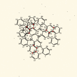 c1ccc(-c2cc3c(cc2-c2ccccc2)N(c2c(-c4ccccc4)cccc2-c2ccccc2)c2cc(C4(c5ccccc5)c5ccccc5-c5ccccc54)cc4c2B3c2cc(-c3ccccc3)c(-c3ccccc3)cc2N4c2c(-c3ccccc3)cccc2-c2ccccc2)cc1